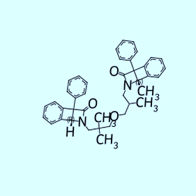 CC(COCC(C)(C)CN1C(=O)C2(c3ccccc3)c3ccccc3[C@@H]12)CN1C(=O)C2(c3ccccc3)c3ccccc3[C@]12C